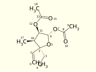 C=C[C@]1(CC)O[C@@H](OC(C)=O)[C@H](OC(C)=O)[C@@H]1C